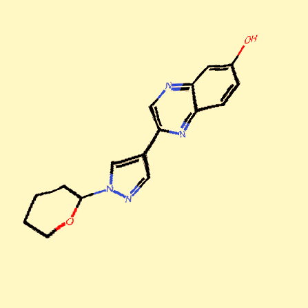 Oc1ccc2nc(-c3cnn(C4CCCCO4)c3)cnc2c1